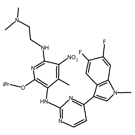 Cc1c(Nc2nccc(-c3cn(C)c4cc(F)c(F)cc34)n2)c(OC(C)C)nc(NCCN(C)C)c1[N+](=O)[O-]